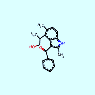 Cc1ccc2[nH]c(C)c(C(=O)c3ccccc3)c2c1C(C)CO